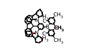 Cc1cc(C)c(B(c2cc(-n3c4ccccc4c4ccccc43)c(C3c4ccccc4-c4ccccc43)c(-n3c4ccccc4c4ccccc43)c2)c2c(C)cc(C)cc2C)c(C)c1